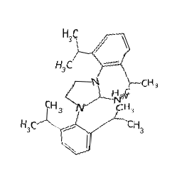 CC(C)c1cccc(C(C)C)c1N1CCN(c2c(C(C)C)cccc2C(C)C)C1[N]=[V]